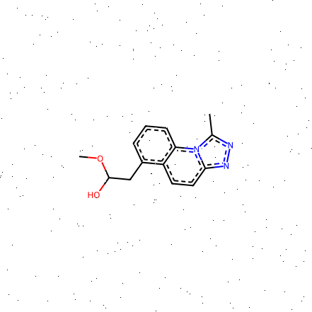 COC(O)Cc1cccc2c1ccc1nnc(C)n12